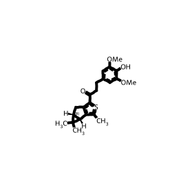 COc1cc(CCC(=O)c2sc(C)c3c2C[C@@H]2[C@H]3C2(C)C)cc(OC)c1O